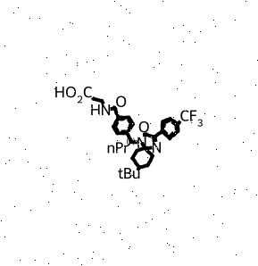 CCC[C@H](c1ccc(C(=O)NCCC(=O)O)cc1)N1C(=O)C(c2ccc(C(F)(F)F)cc2)=NC12CCC(C(C)(C)C)CC2